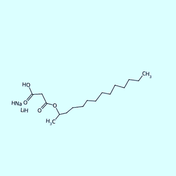 CCCCCCCCCCCCC(C)OC(=O)CC(=O)O.[LiH].[NaH]